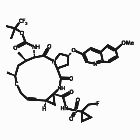 COc1ccc2ncc(O[C@@H]3CC4C(=O)N[C@]5(C(=O)NS(=O)(=O)C6(CF)CC6)C[C@H]5/C=C\CC[C@@H](C)C[C@@H](C)[C@H](NC(=O)OC(C)(C)C(F)(F)F)C(=O)N4C3)cc2c1